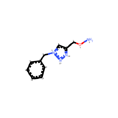 NOCc1cn(Cc2ccccc2)nn1